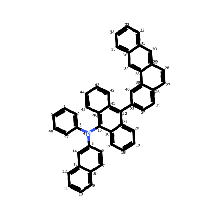 c1ccc(N(c2ccc3ccccc3c2)c2c3ccccc3c(-c3ccc4ccc5cc6ccccc6cc5c4c3)c3ccccc23)cc1